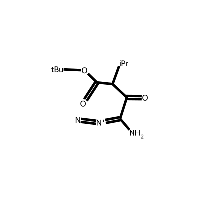 CC(C)C(C(=O)OC(C)(C)C)C(=O)C(N)=[N+]=[N-]